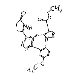 CCOC(=O)c1ncn2c1Cn1c(nnc1[C@H]1CCC(=O)N1)-c1cc(OC)ccc1-2